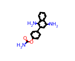 NC(=O)Oc1ccc(-c2cc(N)c3ccccc3c2N)cc1